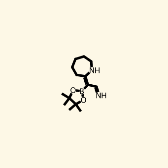 CC1(C)OB(/C(C=N)=C2\CCCCCN2)OC1(C)C